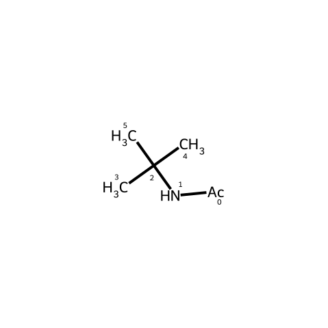 [CH2]C(=O)NC(C)(C)C